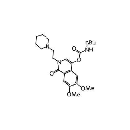 CCCCNC(=O)Oc1cn(CCN2CCCCC2)c(=O)c2cc(OC)c(OC)cc12